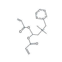 C=CC(=O)OC(C[N+](C)(C)Cc1ccccc1)OC(=O)C=C